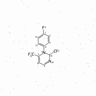 Fc1ccc(N2C(C(F)(F)F)=CC=NC2Cl)cc1